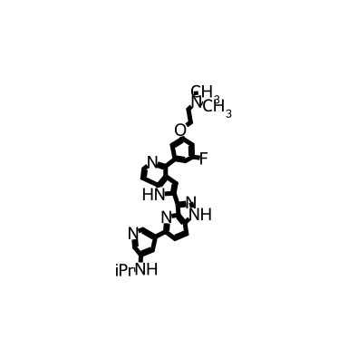 CC(C)Nc1cncc(-c2ccc3[nH]nc(-c4cc5c(-c6cc(F)cc(OCCN(C)C)c6)nccc5[nH]4)c3n2)c1